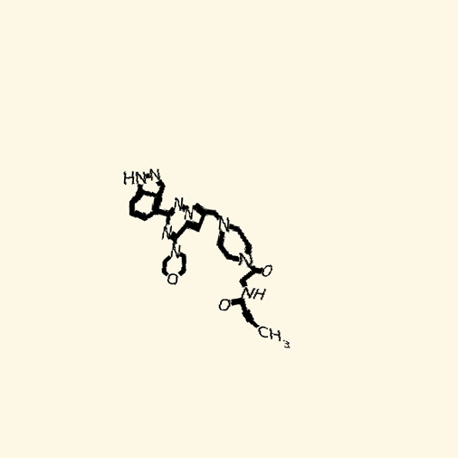 CC#CC(=O)NCC(=O)N1CCN(Cc2cc3c(N4CCOCC4)nc(-c4cccc5[nH]ncc45)nn3c2)CC1